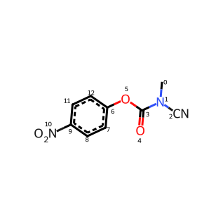 CN(C#N)C(=O)Oc1ccc([N+](=O)[O-])cc1